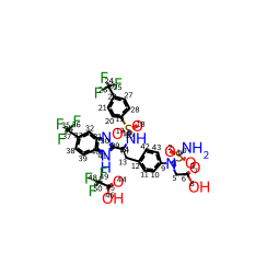 NS(=O)(=O)N(CC(=O)O)c1ccc(C[C@H](NS(=O)(=O)c2ccc(C(F)(F)F)cc2)c2nc3cc(C(F)(F)F)ccc3[nH]2)cc1.O=C(O)C(F)(F)F